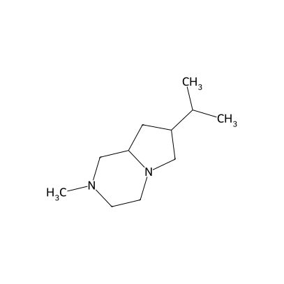 CC(C)C1CC2CN(C)CCN2C1